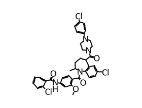 COc1cc(NC(=O)c2ccccc2Cl)ccc1C(=O)N1c2ccc(Cl)cc2C(C(=O)N2CCN(c3ccc(Cl)cc3)CC2)CCC1C